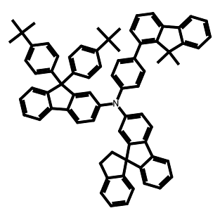 CC(C)(C)c1ccc(C2(c3ccc(C(C)(C)C)cc3)c3ccccc3-c3ccc(N(c4ccc(-c5cccc6c5C(C)(C)c5ccccc5-6)cc4)c4ccc5c(c4)C4(CCc6ccccc64)c4ccccc4-5)cc32)cc1